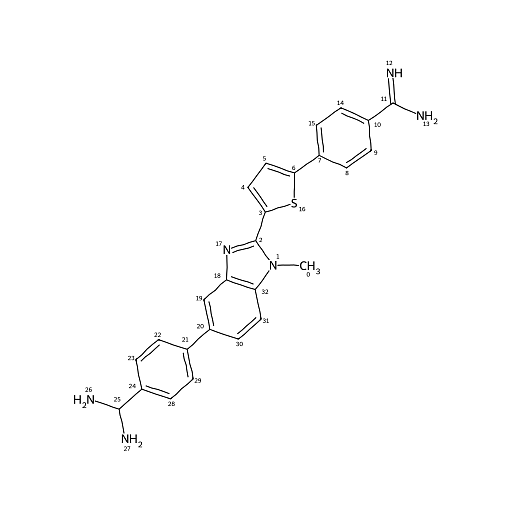 Cn1c(-c2ccc(-c3ccc(C(=N)N)cc3)s2)nc2cc(-c3ccc(C(N)N)cc3)ccc21